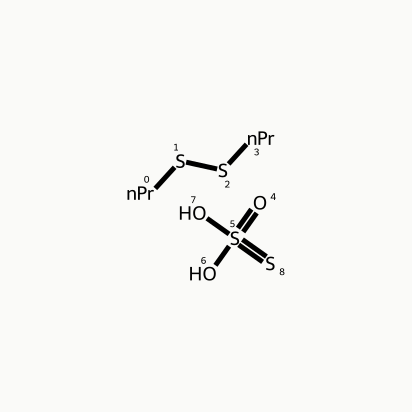 CCCSSCCC.O=S(O)(O)=S